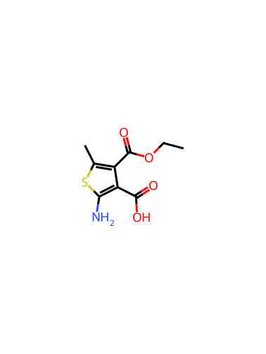 CCOC(=O)c1c(C)sc(N)c1C(=O)O